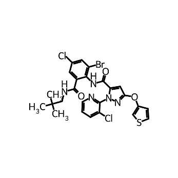 CC(C)(C)CNC(=O)c1cc(Cl)cc(Br)c1NC(=O)c1cc(Oc2ccsc2)nn1-c1ncccc1Cl